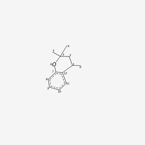 CC1CC(C)(C)Oc2ccccc21